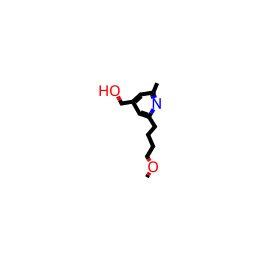 COCCCCc1cc(CO)cc(C)n1